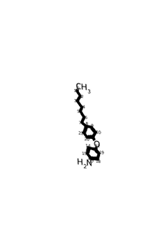 CCCCCCCCc1ccc(Oc2ccc(N)cc2)cc1